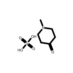 CN1CCC(=O)CC1.O=S(=O)(O)O